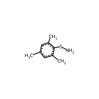 Cc1cc(C)c(SN)c(C)c1